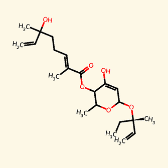 C=CC(C)(O)CC/C=C(\C)C(=O)OC1C(O)=CC(O[C@](C)(C=C)CC)OC1C